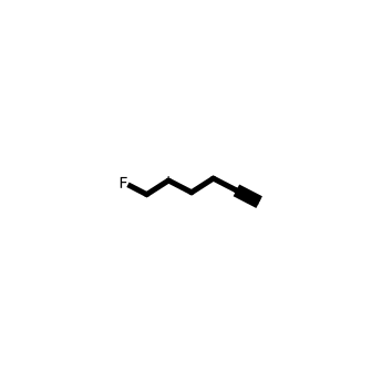 C#CCC[CH]CF